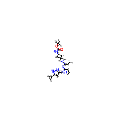 C\C=C/C(=N\C(=C\CC)N1CC2(CC(NC(=O)OC(C)(C)C)C2)C1)Nc1cc(C2CC2)[nH]n1